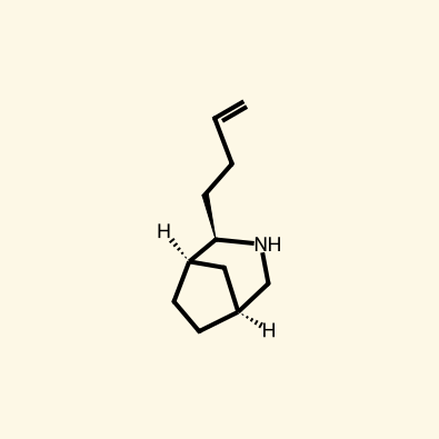 C=CCC[C@H]1NC[C@H]2CC[C@@H]1C2